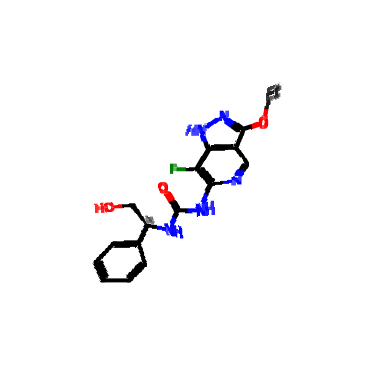 CCOc1n[nH]c2c(F)c(NC(=O)N[C@H](CO)c3ccccc3)ncc12